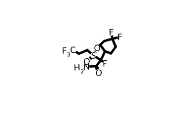 NC(=O)C(F)(C1CCC(F)(F)CC1)S(=O)(=O)CCC(F)(F)F